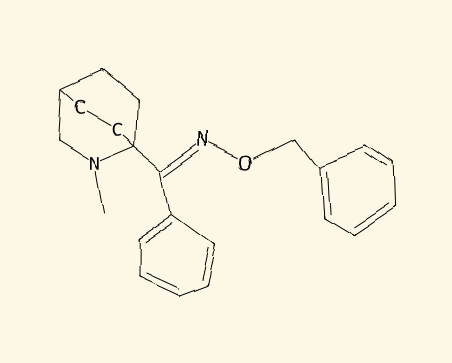 CN1CC2CCC1(/C(=N/OCc1ccccc1)c1ccccc1)CC2